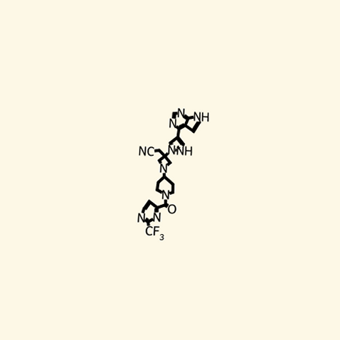 N#CCC1([n+]2cc(-c3ncnc4[nH]ccc34)c[nH]2)CN(C2CCN(C(=O)c3ccnc(C(F)(F)F)n3)CC2)C1